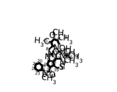 COc1c(C)cnc(Cn2nc3cc(C(=O)N(C)c4ccccc4)c4c-3c(n2)C(N(C(=O)O)C(C)(C)C)=NSC4)c1C